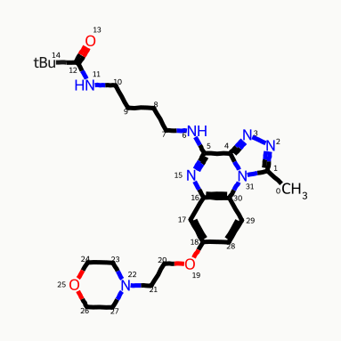 Cc1nnc2c(NCCCCNC(=O)C(C)(C)C)nc3cc(OCCN4CCOCC4)ccc3n12